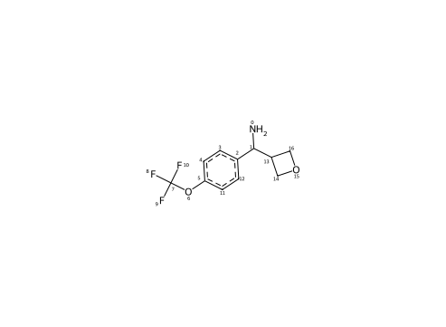 NC(c1ccc(OC(F)(F)F)cc1)C1COC1